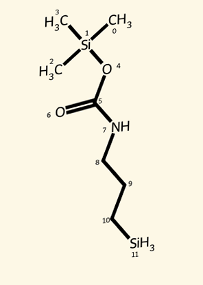 C[Si](C)(C)OC(=O)NCCC[SiH3]